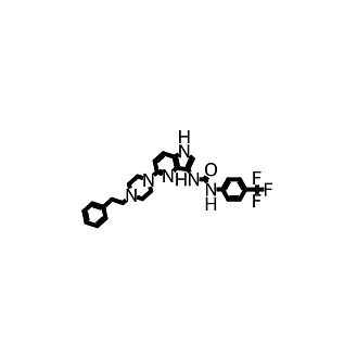 O=C(Nc1ccc(C(F)(F)F)cc1)Nc1c[nH]c2ccc(N3CCN(CCc4ccccc4)CC3)nc12